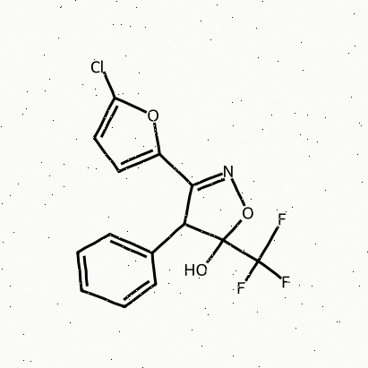 OC1(C(F)(F)F)ON=C(c2ccc(Cl)o2)C1c1ccccc1